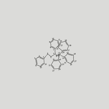 c1ccc(CCC(c2ccccc2)[PH](c2ccccc2)(c2ccccc2)c2ccccc2)cc1